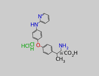 CC(c1ccc(Oc2ccc(Nc3ccccn3)cc2)cc1)[C@H](N)C(=O)O.Cl.Cl